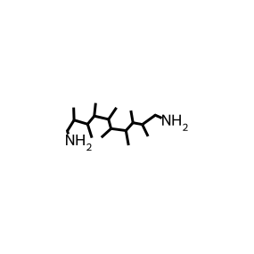 CC(CN)C(C)C(C)C(C)C(C)C(C)C(C)C(C)CN